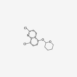 Clc1ccc2c(OC3CCCCO3)ccc(Cl)c2n1